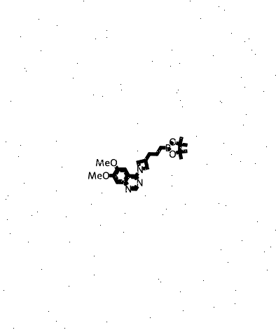 COc1cc2ncnc(N3CC(CCCB4OC(C)(C)C(C)(C)O4)C3)c2cc1OC